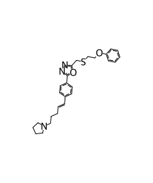 C(=C\c1ccc(-c2nnc(CSCCOc3ccccc3)o2)cc1)/CCCN1CCCC1